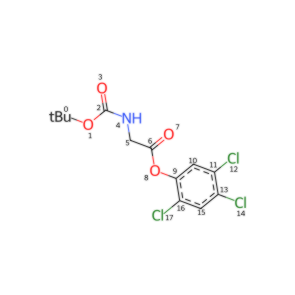 CC(C)(C)OC(=O)NCC(=O)Oc1cc(Cl)c(Cl)cc1Cl